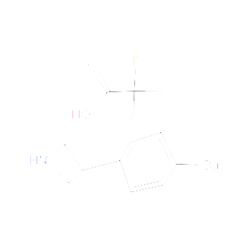 CC(C)(C)c1ccc(C2CNC2)cc1.O=C(O)C(F)(F)F